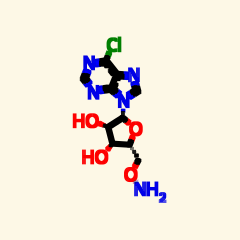 NOC[C@H]1O[C@@H](n2cnc3c(Cl)ncnc32)[C@H](O)[C@@H]1O